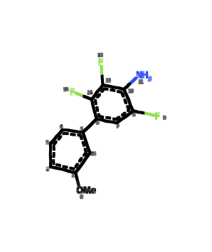 COc1cccc(-c2cc(F)c(N)c(F)c2F)c1